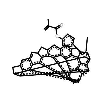 C=C(C)C(=O)Oc1ccc(C2N(C)CC3C4=c5c6c7c8c(cc9cc%10c%11c%12c%13c%14c(cc%15c%16c(c5c5c6c6c8c9c%11c6c%13c5c%16%14)=C(C4)C%15)=CC%12C%10)CC732)cc1